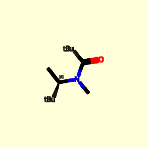 C[C@@H](N(C)C(=O)C(C)(C)C)C(C)(C)C